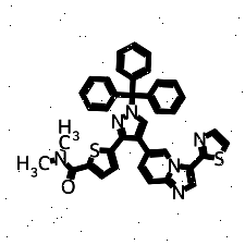 CN(C)C(=O)c1ccc(-c2nn(C(c3ccccc3)(c3ccccc3)c3ccccc3)cc2-c2ccc3ncc(-c4nccs4)n3c2)s1